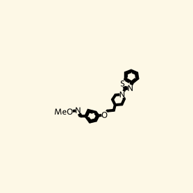 CON=Cc1ccc(OCCC2CCN(c3nc4ccccc4s3)CC2)cc1